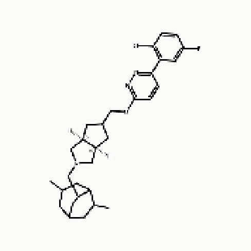 CC1CC2CC(C)C(C1)C(CN1C[C@H]3CC(COc4ccc(-c5cc(F)ccc5Cl)nn4)C[C@H]3C1)C2